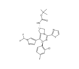 CC(C)(C)OC(=O)N[C@H]1CC2=C(c3cnn(C(F)F)c3)[C@H](c3ccc(F)cc3Cl)N=C(c3nccs3)N2C1